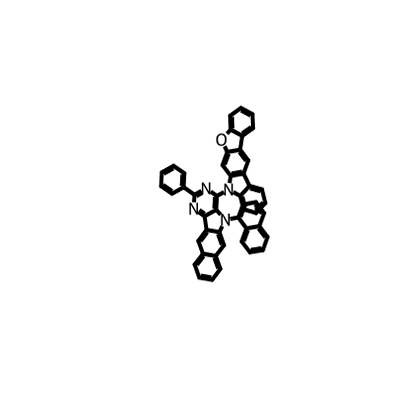 c1ccc(-c2nc(-n3c4ccccc4c4cc5c(cc43)oc3ccccc35)c3c(n2)c2cc4ccccc4cc2n3-c2cccc3ccccc23)cc1